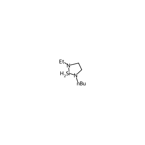 CCCCN1CCN(CC)[SiH2]1